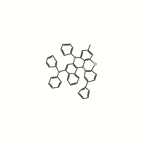 Cc1cc2c3c(c1)N(c1ccccc1)c1cc(N(c4ccccc4)c4ccccc4)c4ccccc4c1B3c1cc(-c3ccccc3)ccc1O2